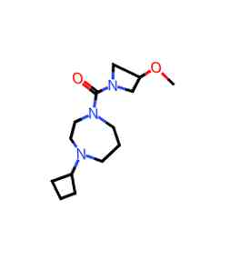 COC1CN(C(=O)N2CCCN(C3CCC3)CC2)C1